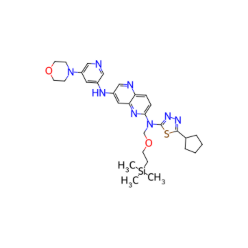 C[Si](C)(C)CCOCN(c1ccc2ncc(Nc3cncc(N4CCOCC4)c3)cc2n1)c1nnc(C2CCCC2)s1